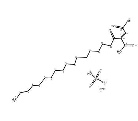 CCCCCCCCCCCCCCCCCC(=O)/C(=C\C(=O)O)C(=O)O.O=S(=O)(O)O.[NaH]